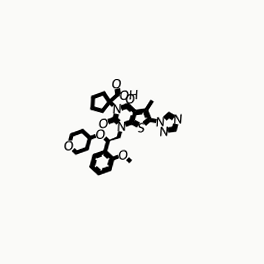 COc1ccccc1[C@H](Cn1c(=O)n(C2(C(=O)O)CCCC2)c(=O)c2c(C)c(-n3cncn3)sc21)OC1CCOCC1